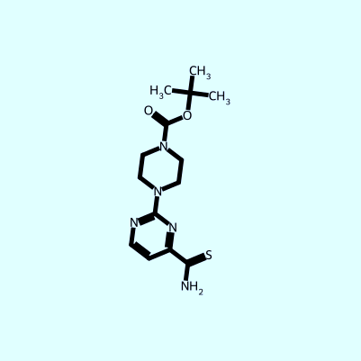 CC(C)(C)OC(=O)N1CCN(c2nccc(C(N)=S)n2)CC1